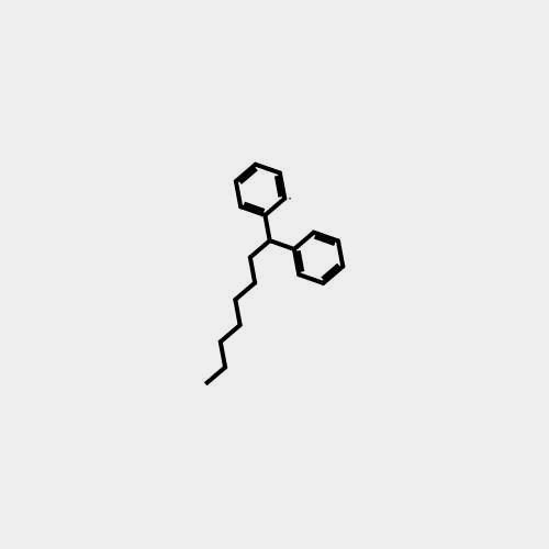 CCCCCCCC(c1[c]cccc1)c1ccccc1